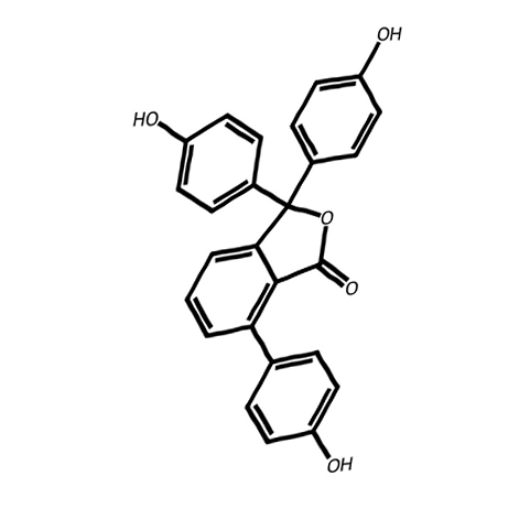 O=C1OC(c2ccc(O)cc2)(c2ccc(O)cc2)c2cccc(-c3ccc(O)cc3)c21